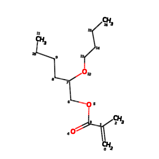 C=C(C)C(=O)OCC(CCCC)OCCCC